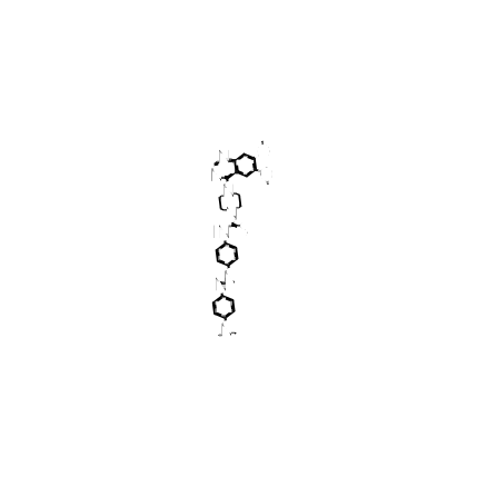 COc1cc2ncnc(N3CCN(C(=S)Nc4ccc(N=Nc5ccc(N(C)C)cc5)cc4)CC3)c2cc1OC